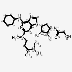 C[C@@H](CCN(C)c1nc(NC2CCCCC2)c2ncn([C@@H]3C[C@H](NC(=O)CO)[C@@H](O)[C@H]3O)c2n1)N(C)C